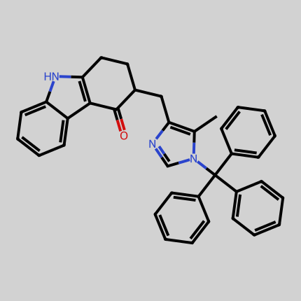 Cc1c(CC2CCc3[nH]c4ccccc4c3C2=O)ncn1C(c1ccccc1)(c1ccccc1)c1ccccc1